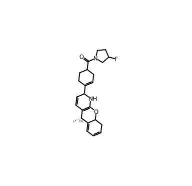 C[C@H]1C2=CC=CCC2OC2=C1C=CC(C1=CCC(C(=O)N3CCC(F)C3)CC1)N2